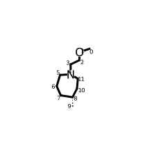 COCCN1CCC[C@@H](C)CC1